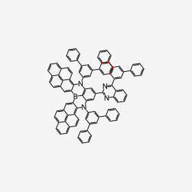 c1ccc(-c2cc(-c3ccccc3)cc(-c3nc(-c4cc5c6c(c4)N(c4cc(-c7ccccc7)cc(-c7ccccc7)c4)c4c(cc7ccc8cccc9ccc4c7c89)B6c4cc6ccc7cccc8ccc(c4N5c4cc(-c5ccccc5)cc(-c5ccccc5)c4)c6c78)nc4ccccc34)c2)cc1